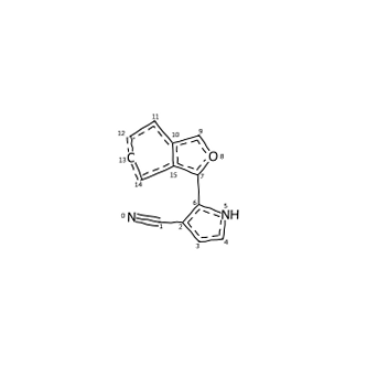 N#Cc1cc[nH]c1-c1occ2ccccc12